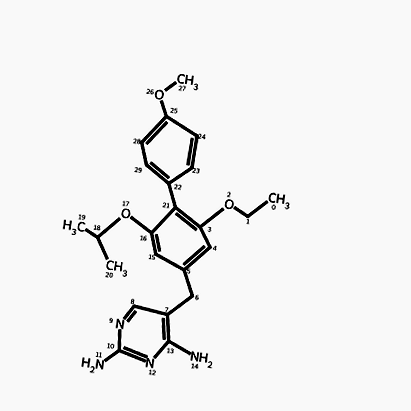 CCOc1cc(Cc2cnc(N)nc2N)cc(OC(C)C)c1-c1ccc(OC)cc1